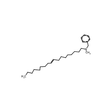 CCCCCCCCC=CCCCCCCCCN(C)Cc1ccccc1